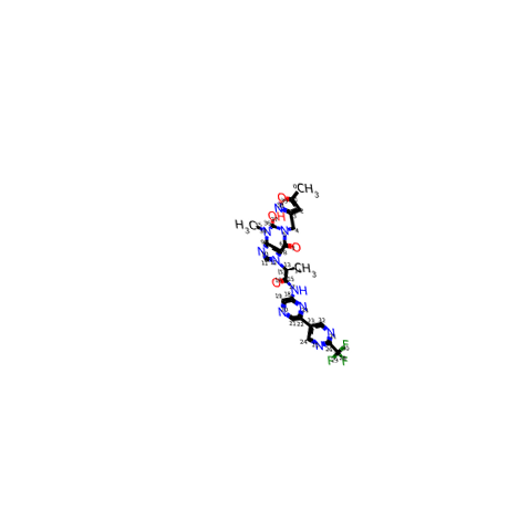 Cc1cc(CN2C(=O)c3c(ncn3[C@@H](C)C(=O)Nc3cncc(-c4cnc(C(F)(F)F)nc4)n3)N(C)C2O)no1